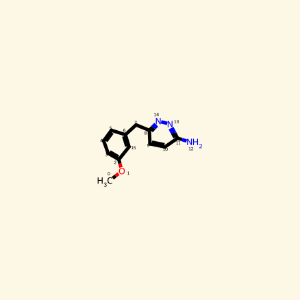 COc1cccc(Cc2ccc(N)nn2)c1